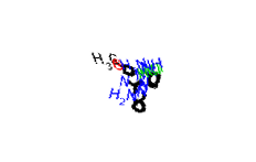 COc1ccc(Nc2nn(Cc3ccccc3)c(N)c2C#N)cc1.Cl.Cl.NNCc1ccccc1